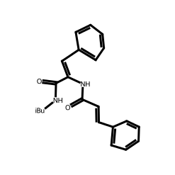 CCC(C)NC(=O)/C(=C/c1ccccc1)NC(=O)C=Cc1ccccc1